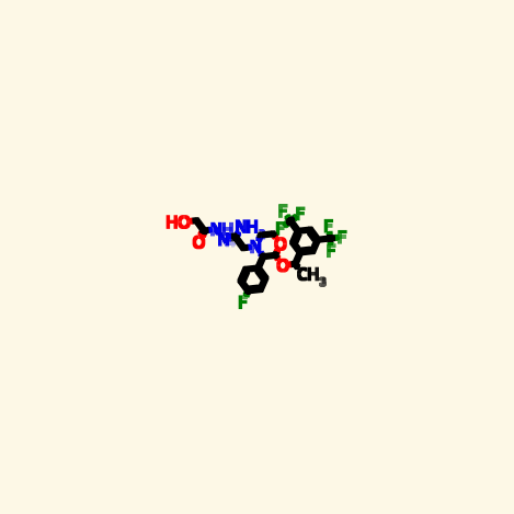 CC(OC1OCCN(C/C(N)=N/NC(=O)CO)C1c1ccc(F)cc1)c1cc(C(F)(F)F)cc(C(F)(F)F)c1